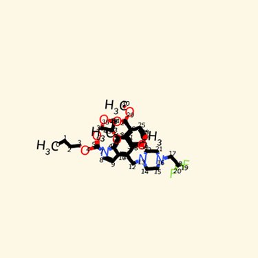 CCCCOC(=O)n1ccc2c(CN3CCN(CC(F)F)C[C@H]3c3ccc(C(=O)OC)c(OC4COC4)c3)c(OC)cc(C)c21